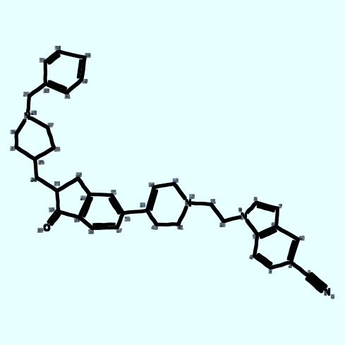 N#Cc1ccc2c(ccn2CCN2CC=C(c3ccc4c(c3)CC(CC3CCN(Cc5ccccc5)CC3)C4=O)CC2)c1